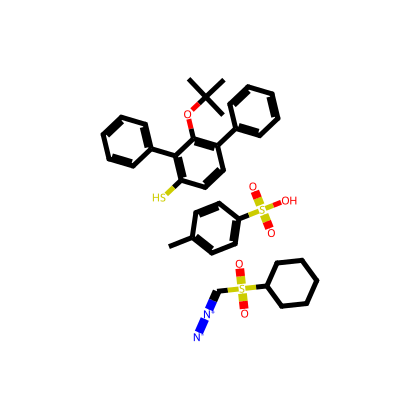 CC(C)(C)Oc1c(-c2ccccc2)ccc(S)c1-c1ccccc1.Cc1ccc(S(=O)(=O)O)cc1.[N-]=[N+]=CS(=O)(=O)C1CCCCC1